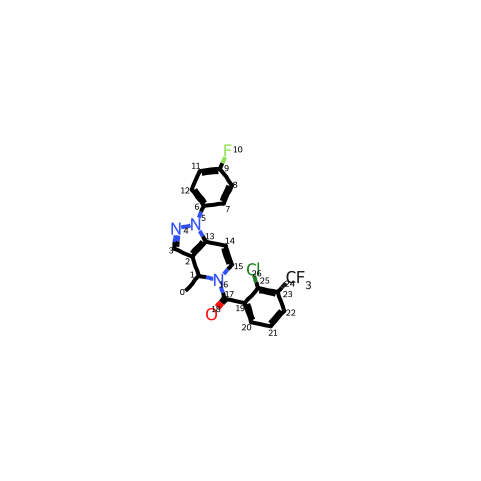 CC1c2cnn(-c3ccc(F)cc3)c2C=CN1C(=O)c1cccc(C(F)(F)F)c1Cl